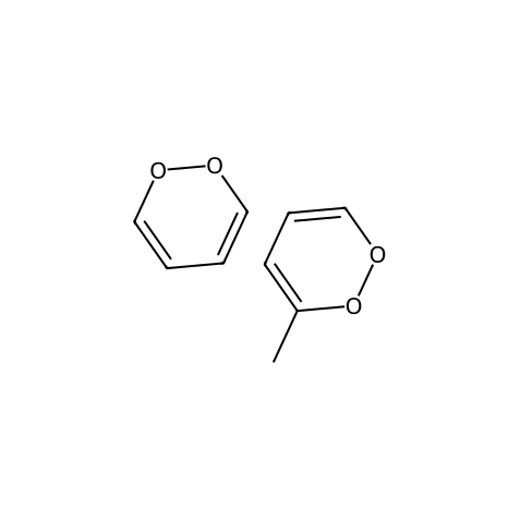 C1=COOC=C1.CC1=CC=COO1